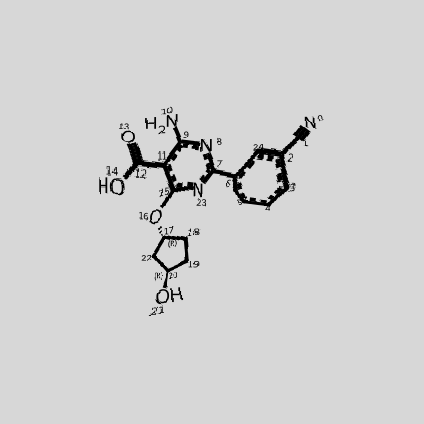 N#Cc1cccc(-c2nc(N)c(C(=O)O)c(O[C@@H]3CC[C@@H](O)C3)n2)c1